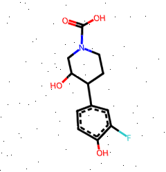 O=C(O)N1CCC(c2ccc(O)c(F)c2)C(O)C1